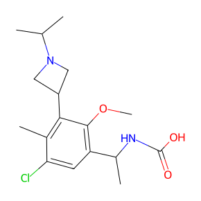 COc1c(C(C)NC(=O)O)cc(Cl)c(C)c1C1CN(C(C)C)C1